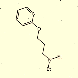 CCN(CC)CCCOc1ccccn1